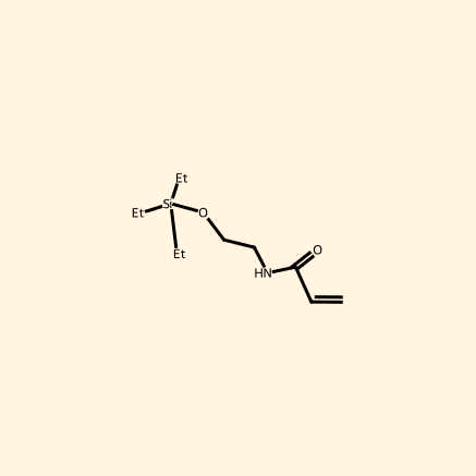 C=CC(=O)NCCO[Si](CC)(CC)CC